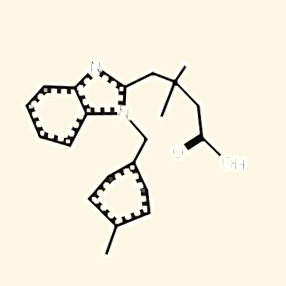 Cc1ccc(Cn2c(CC(C)(C)CC(=O)O)nc3ccccc32)cc1